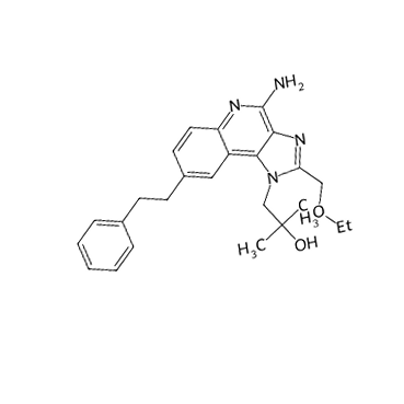 CCOCc1nc2c(N)nc3ccc(CCc4ccccc4)cc3c2n1CC(C)(C)O